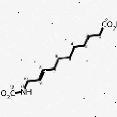 O=C(O)CCCCCCCC=CCNC(=O)O